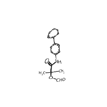 CC(C)(O[C]=O)C(=O)Nc1ccc(-c2ccccc2)cc1